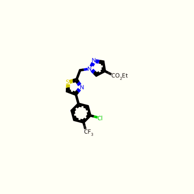 CCOC(=O)c1cnn(Cc2nc(-c3ccc(C(F)(F)F)c(Cl)c3)cs2)c1